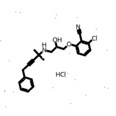 CC(C)(C#CCc1ccccc1)NCC(O)COc1cccc(Cl)c1C#N.Cl